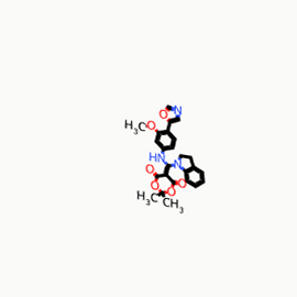 COc1cc(NC(=C2C(=O)OC(C)(C)OC2=O)N2CCc3ccccc32)ccc1-c1cnco1